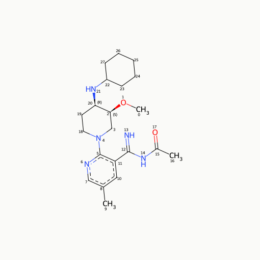 CO[C@H]1CN(c2ncc(C)cc2C(=N)NC(C)=O)CC[C@H]1NC1CCCCC1